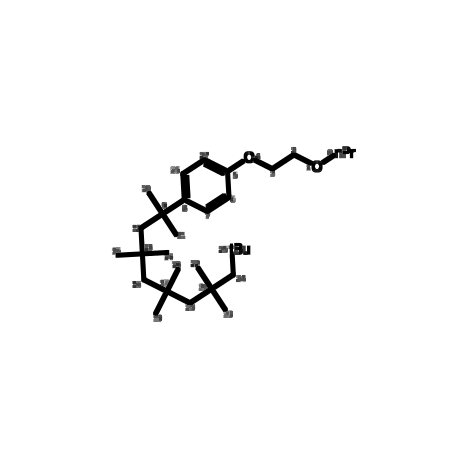 CCCOCCOc1ccc(C(C)(C)CC(C)(C)CC(C)(C)CC(C)(C)CC(C)(C)C)cc1